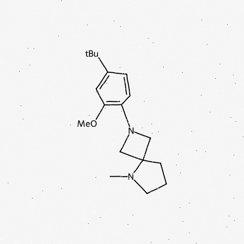 COc1cc(C(C)(C)C)ccc1N1CC2(CCCN2C)C1